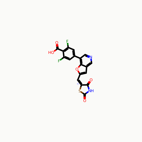 O=C1NC(=O)/C(=C\c2cc3cncc(-c4cc(F)c(C(=O)O)c(F)c4)c3o2)S1